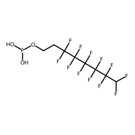 OP(O)OCCC(F)(F)C(F)(F)C(F)(F)C(F)(F)C(F)(F)C(F)F